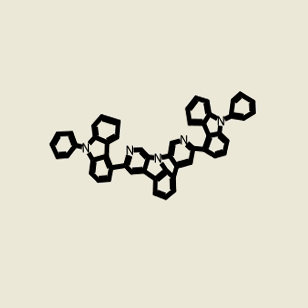 c1ccc(-n2c3ccccc3c3c(-c4cc5c6cccc7c8cc(-c9cccc%10c9c9ccccc9n%10-c9ccccc9)ncc8n(c5cn4)c67)cccc32)cc1